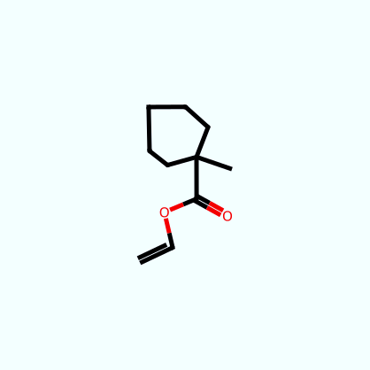 C=COC(=O)C1(C)CCCCC1